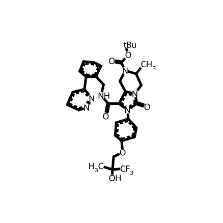 CC1Cn2c(c(C(=O)NCc3ccccc3-c3cccnn3)n(-c3ccc(OCC(C)(O)C(F)(F)F)cc3)c2=O)CN1C(=O)OC(C)(C)C